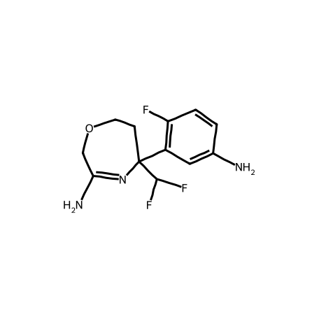 NC1=NC(c2cc(N)ccc2F)(C(F)F)CCOC1